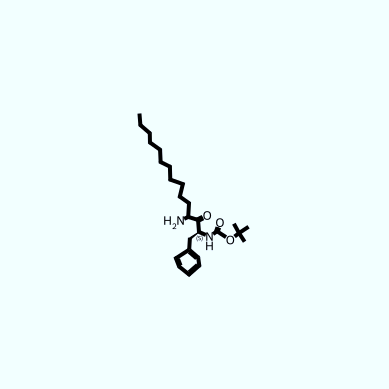 CCCCCCCCCCCC(N)C(=O)[C@H](Cc1ccccc1)NC(=O)OC(C)(C)C